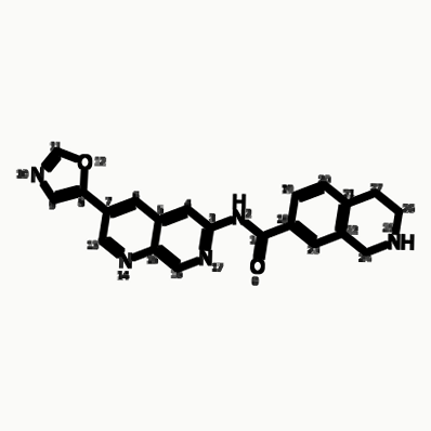 O=C(Nc1cc2cc(-c3cnco3)cnc2cn1)c1ccc2c(c1)CNCC2